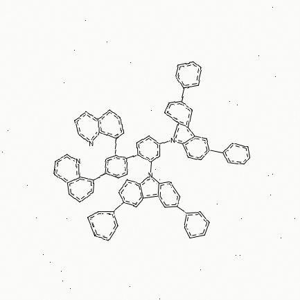 c1ccc(-c2ccc3c(c2)c2cc(-c4ccccc4)ccc2n3-c2ccc(-c3ccc(-c4cccc5cccnc45)cc3-c3cccc4cccnc34)c(-n3c4ccc(-c5ccccc5)cc4c4cc(-c5ccccc5)ccc43)c2)cc1